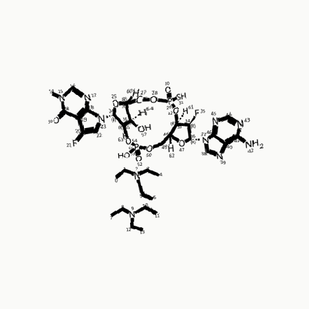 CCN(CC)CC.CCN(CC)CC.Cn1cnc2c(c(F)cn2[C@@H]2O[C@@H]3COP(=O)(S)O[C@H]4[C@@H](F)[C@H](n5cnc6c(N)ncnc65)O[C@@H]4COP(=O)(O)O[C@@H]2[C@@H]3O)c1=O